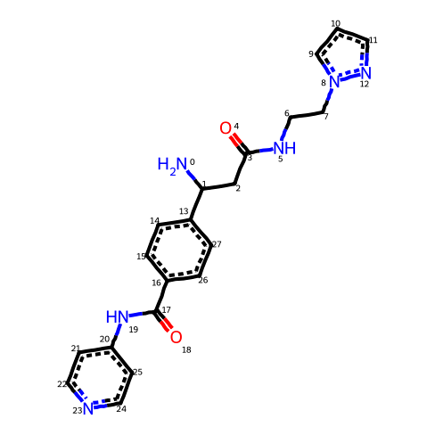 NC(CC(=O)NCCn1cccn1)c1ccc(C(=O)Nc2ccncc2)cc1